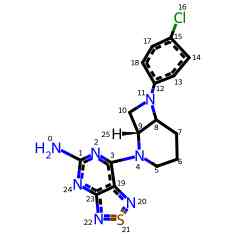 Nc1nc(N2CCCC3[C@H]2CN3c2ccc(Cl)cc2)c2nsnc2n1